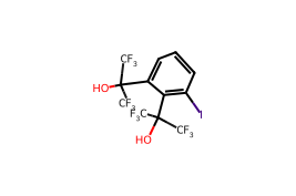 OC(c1cccc(I)c1C(O)(C(F)(F)F)C(F)(F)F)(C(F)(F)F)C(F)(F)F